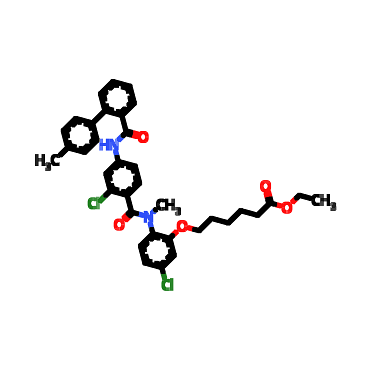 CCOC(=O)CCCCCOc1cc(Cl)ccc1N(C)C(=O)c1ccc(NC(=O)c2ccccc2-c2ccc(C)cc2)cc1Cl